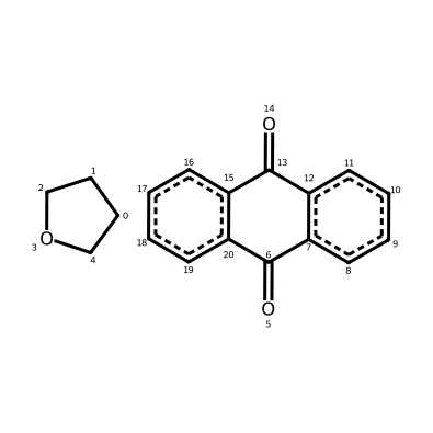 C1CCOC1.O=C1c2ccccc2C(=O)c2ccccc21